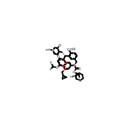 O=C([O-])c1ccc(CN(C(=O)O[C@H]2CN3CCC2CC3)c2cccnc2)cc1[C@@H](Cc1c(Cl)c[n+](O)cc1Cl)c1ccc(OC(F)F)c(OCC2CC2)c1